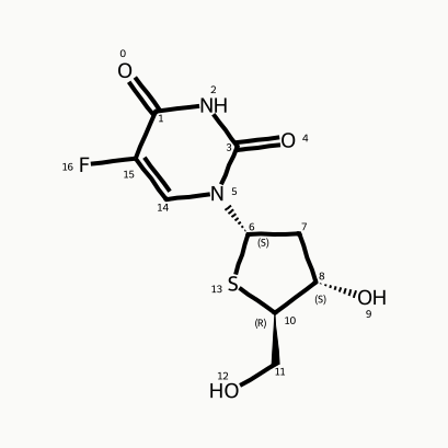 O=c1[nH]c(=O)n([C@@H]2C[C@H](O)[C@@H](CO)S2)cc1F